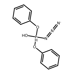 [N-]=[N+]=N[PH](O)(Oc1ccccc1)Oc1ccccc1